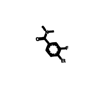 CCc1ccc(C(=O)N(C)C)cc1F